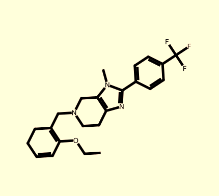 CCOC1=C(CN2CCc3nc(-c4ccc(C(F)(F)F)cc4)n(C)c3C2)CCC=C1